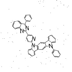 c1ccc(-c2nc(-c3ccc(-n4c5ccccc5c5cc6c(cc54)c4ccccc4n6-c4ccccc4)nc3)nc3ccccc23)cc1